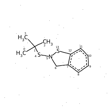 CC(C)(C)SN1Cc2ccccc2S1